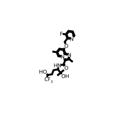 Cc1cc(OCc2ncccc2F)c2nc(C)c(C(=O)NC(CCC(O)C(F)(F)F)C(C)(C)O)n2c1